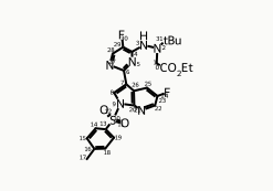 CCOC(=O)CN(Nc1nc(-c2cn(S(=O)(=O)c3ccc(C)cc3)c3ncc(F)cc23)ncc1F)C(C)(C)C